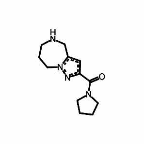 O=C(c1cc2n(n1)CCCNC2)N1CCCC1